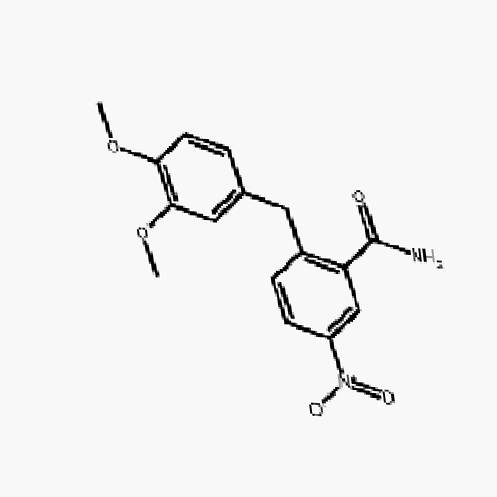 COc1ccc(Cc2ccc([N+](=O)[O-])cc2C(N)=O)cc1OC